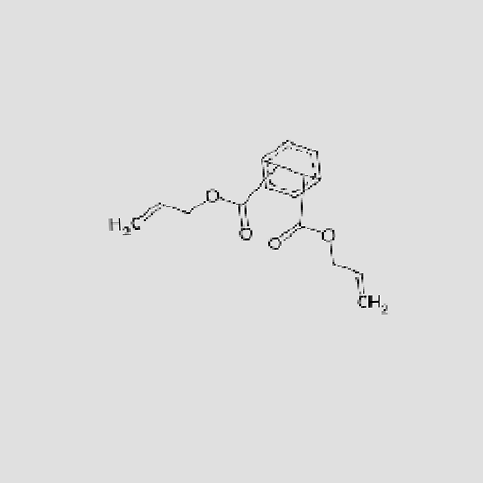 C=CCOC(=O)C1c2ccc(cc2)C1C(=O)OCC=C